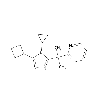 CC(C)(c1ccccn1)c1nnc(C2CCC2)n1C1CC1